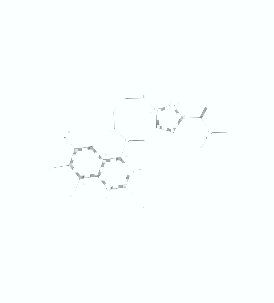 CN(C)C(=O)c1cc2n(n1)CCCCN(c1nc(Cl)nc3c(F)c(Br)c(Cl)cc13)C2